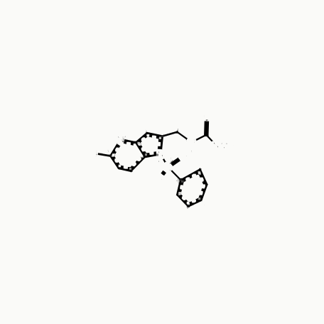 CNC(=O)OCc1cc2nc(Cl)ccc2n1S(=O)(=O)c1ccccc1